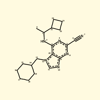 CC(Nc1nc(C#N)nc2ncn(CC3CCCCC3)c12)C1CCC1